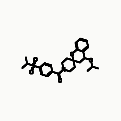 CC(C)OC1CC2(CCN(C(=O)c3ccc(S(=O)(=O)C(C)C)cc3)CC2)Oc2ccccc21